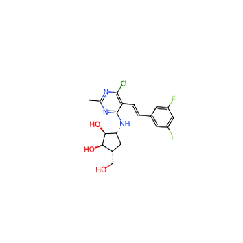 Cc1nc(Cl)c(/C=C/c2cc(F)cc(F)c2)c(N[C@@H]2C[C@H](CO)[C@@H](O)[C@H]2O)n1